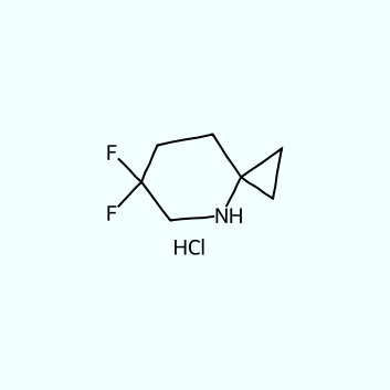 Cl.FC1(F)CCC2(CC2)NC1